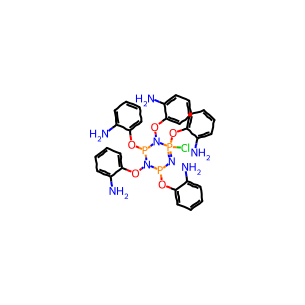 Nc1ccccc1ON1P(Oc2ccccc2N)N=P(Cl)(Oc2ccccc2N)N(Oc2ccccc2N)P1Oc1ccccc1N